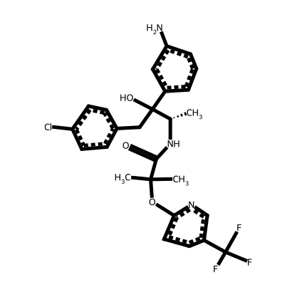 C[C@H](NC(=O)C(C)(C)Oc1ccc(C(F)(F)F)cn1)C(O)(Cc1ccc(Cl)cc1)c1cccc(N)c1